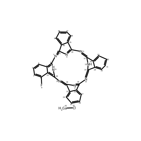 Fc1cccc2c3nc4nc(nc5[nH]c(nc6nc(nc([nH]3)c12)-c1ccccc1-6)c1ccccc51)-c1ccccc1-4.[Cl][GaH2]